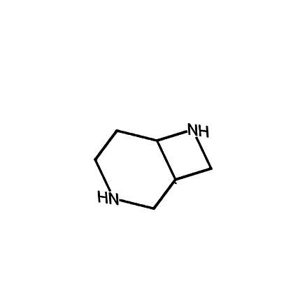 C1CC2NC[C]2CN1